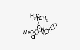 COc1cc(OCCCN(C)C)c(-c2cn3ccc(N4CCOCC4)cc3n2)cc1Cl